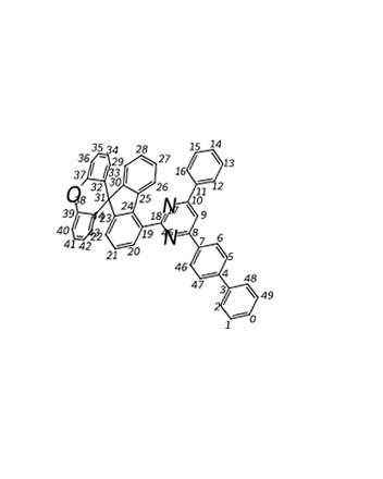 c1ccc(-c2ccc(-c3cc(-c4ccccc4)nc(-c4cccc5c4-c4ccccc4C54c5ccccc5Oc5ccccc54)n3)cc2)cc1